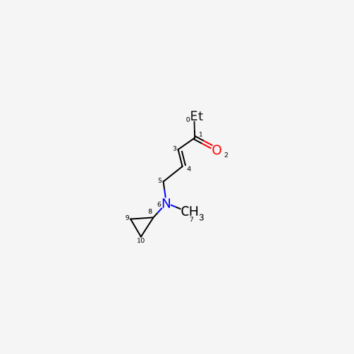 CCC(=O)/C=C/CN(C)C1CC1